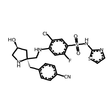 N#Cc1ccc(C[C@@]2(CNc3cc(F)c(S(=O)(=O)Nc4nccs4)cc3Cl)C[C@H](O)CN2)cc1